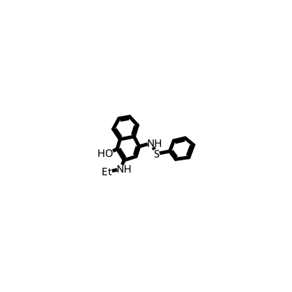 CCNc1cc(NSc2ccccc2)c2ccccc2c1O